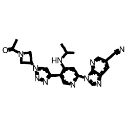 CC(=O)N1CC(n2cc(-c3cnc(-n4cnc5cc(C#N)cnc54)cc3NC(C)C)nn2)C1